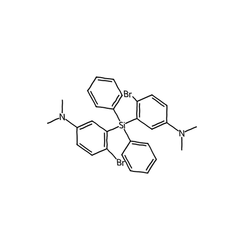 CN(C)c1ccc(Br)c([Si](c2ccccc2)(c2ccccc2)c2cc(N(C)C)ccc2Br)c1